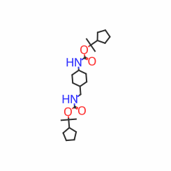 CC(C)(OC(=O)NCC1CCC(NC(=O)OC(C)(C)C2CCCC2)CC1)C1CCCC1